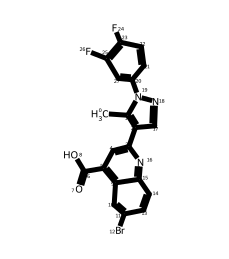 Cc1c(-c2cc(C(=O)O)c3cc(Br)ccc3n2)cnn1-c1ccc(F)c(F)c1